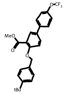 COC(=O)c1cc(-c2ccc(OC(F)(F)F)cc2)ccc1OCc1ccc(C(C)(C)C)cc1